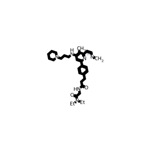 C=N/C=C\c1nc(-c2ccc(CCC(=O)NCC(=O)N(CC)CC)cc2)cc(NCCCN2CCCCC2)c1C